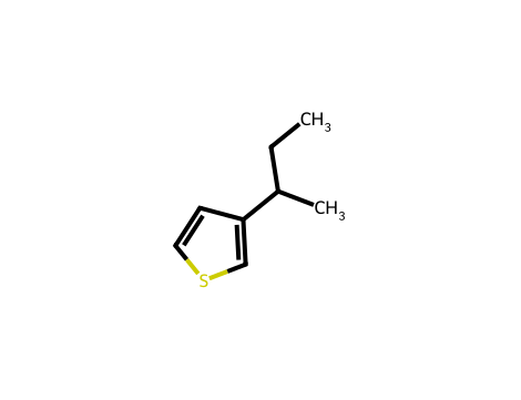 CCC(C)c1ccsc1